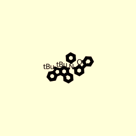 CC(C)(C)C1(C(C)(C)C)c2ccccc2-c2c1cc(N(c1ccccc1)c1cccc3c1oc1ccccc13)c1ccccc21